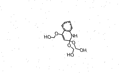 OCOC1=CC(OCO)(OCO)Nc2ccccc21